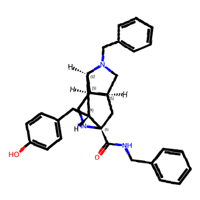 O=C(NCc1ccccc1)[C@@]12C[C@@H]3CN(Cc4ccccc4)[C@@H]([C@@H]3CN1)[C@H]2Cc1ccc(O)cc1